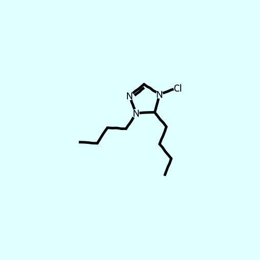 CCCCC1N(Cl)C=NN1CCCC